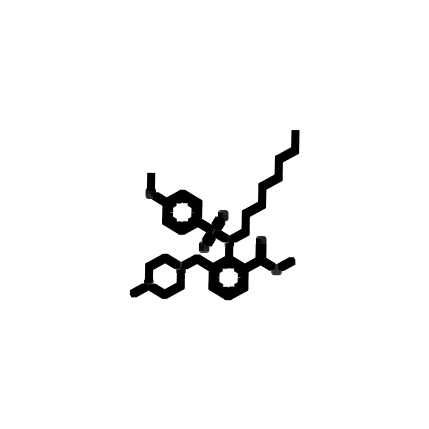 CCCCCCCCN(c1c(CN2CCN(C)CC2)cccc1C(=O)OC)S(=O)(=O)c1ccc(OC)cc1